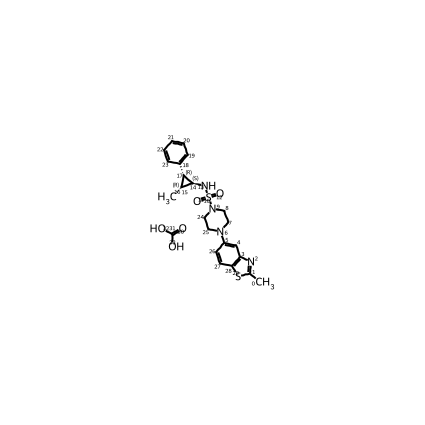 Cc1nc2cc(N3CCN(S(=O)(=O)N[C@H]4[C@H](C)[C@@H]4c4ccccc4)CC3)ccc2s1.O=C(O)O